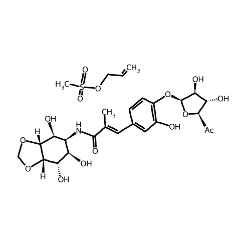 C=CCOS(C)(=O)=O.CC(=O)[C@H]1O[C@@H](Oc2ccc(/C=C(\C)C(=O)N[C@H]3[C@@H](O)[C@H](O)[C@@H]4OCO[C@@H]4[C@H]3O)cc2O)[C@@H](O)[C@@H]1O